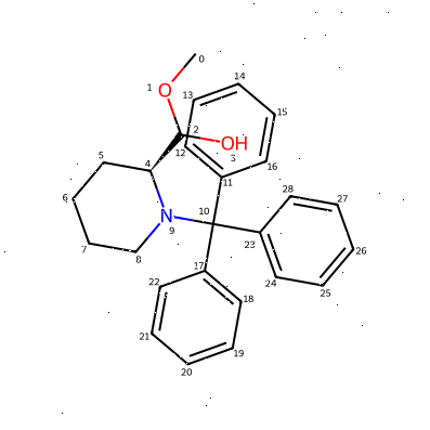 COC(O)[C@@H]1CCCCN1C(c1ccccc1)(c1ccccc1)c1ccccc1